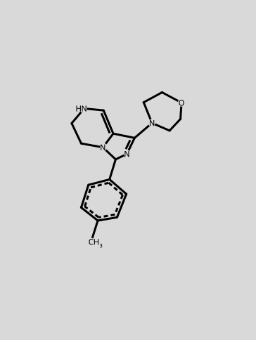 Cc1ccc(C2N=C(N3CCOCC3)C3=CNCCN32)cc1